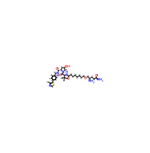 Cc1ncsc1-c1ccc(CNC(=O)[C@@H]2C[C@@H](O)CN2C(=O)[C@@H](NC(=O)CCCCCCCOC[C@@H](N)CCC(N)=O)C(C)(C)C)cc1